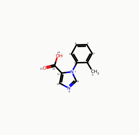 Cc1ccccc1-n1cncc1C(=O)O